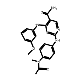 COc1cccc(Nc2nc(Nc3ccc(N(C)C(C)=O)cc3)ncc2C(N)=O)c1